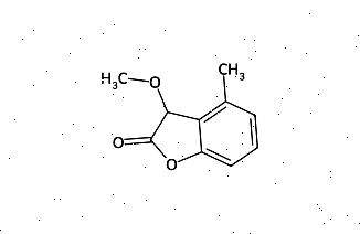 COC1C(=O)Oc2cccc(C)c21